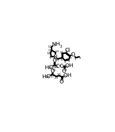 CCOc1ccc(CN2CCC(CN)C2)cc1Cl.O=C(O)CCC(=O)O.O=C(O)CCC(=O)O